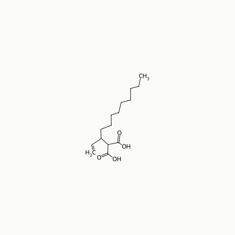 C=CC(CCCCCCCCC)C(C(=O)O)C(=O)O